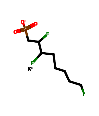 O=S(=O)([O-])CC(F)C(F)CCCCCF.[K+]